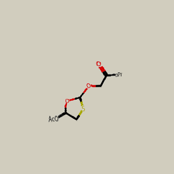 CCCC(=O)COC1OC(OC(C)=O)CS1